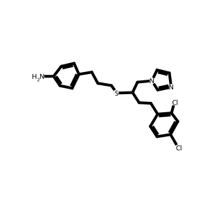 Nc1ccc(CCCSC(CCc2ccc(Cl)cc2Cl)Cn2ccnc2)cc1